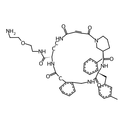 Cc1cccc(C[C@@H]2NC(=O)[C@]3(Cc4ccccc4)CCCN(C3)C(=O)/C=C/C(=O)NCC[C@@H](C(=O)NCCOCCN)NC(=O)Cc3ccccc3CNC2=O)c1